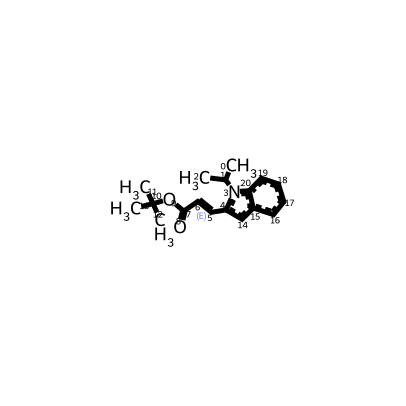 CC(C)n1c(/C=C/C(=O)OC(C)(C)C)cc2ccccc21